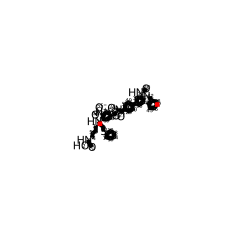 O=C(O)NCCCC[C@H](CSc1ccccc1)Nc1ccc(S(=O)(=O)NC(=O)c2ccc(-c3ccc4c(c3)[nH]c(=O)n4Cc3ccccc3)cc2)cc1[N+](=O)[O-]